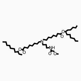 CCCCCCCC(CC)OC(=O)CCCCCCCN(CCCCCCCC(=O)OC(CCCCC)CCCCCC)CCCNC(=O)COC